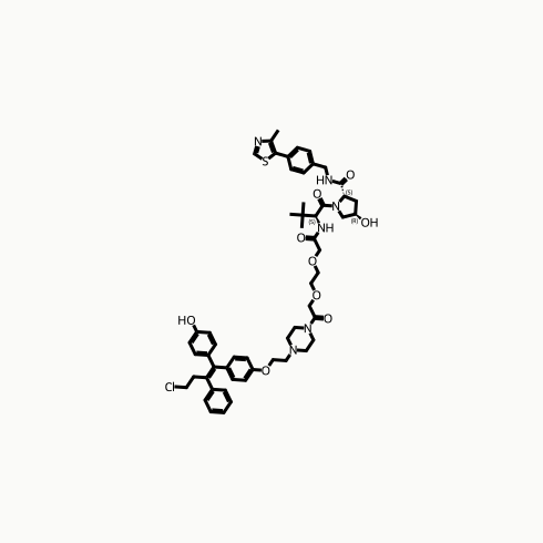 Cc1ncsc1-c1ccc(CNC(=O)[C@@H]2C[C@@H](O)CN2C(=O)[C@@H](NC(=O)COCCOCC(=O)N2CCN(CCOc3ccc(C(=C(CCCl)c4ccccc4)c4ccc(O)cc4)cc3)CC2)C(C)(C)C)cc1